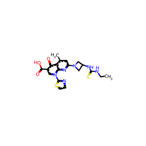 CCNC(=S)NC1CN(c2cc(C)c3c(=O)c(C(=O)O)cn(-c4nccs4)c3n2)C1